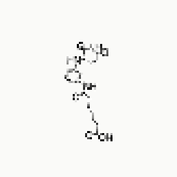 O=C(O)CCCCCC(=O)Nc1cccc(NC2CCC(=O)NC2=O)c1